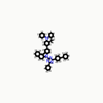 CC1(C)c2ccccc2N(c2ccccc2)c2ccc(-c3ccc4c(c3)c3c5ccccc5ccc3n4-c3nc(-c4ccccc4)nc(-c4ccc(-c5ccccc5)cc4)n3)cc21